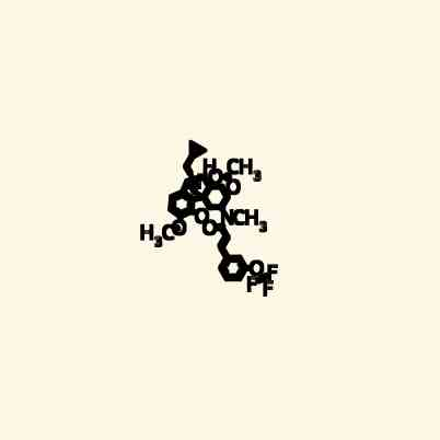 COc1ccc2c3c1OC1C(N(C)C(=O)/C=C/c4cccc(OC(F)(F)F)c4)CC[C@@]4(OC(C)=O)[C@@H](C2)N(CC2CC2)CC[C@]314